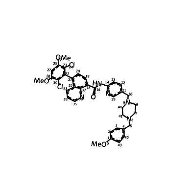 COc1ccc(CN2CCN(Cc3ccc(NC(=O)c4ccc(-c5c(Cl)c(OC)cc(OC)c5Cl)c5cccnc45)nc3)CC2)cc1